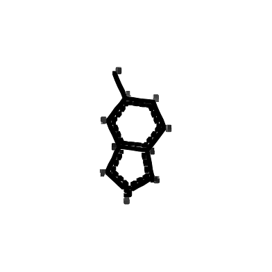 Cc1ccc2[c]scc2c1